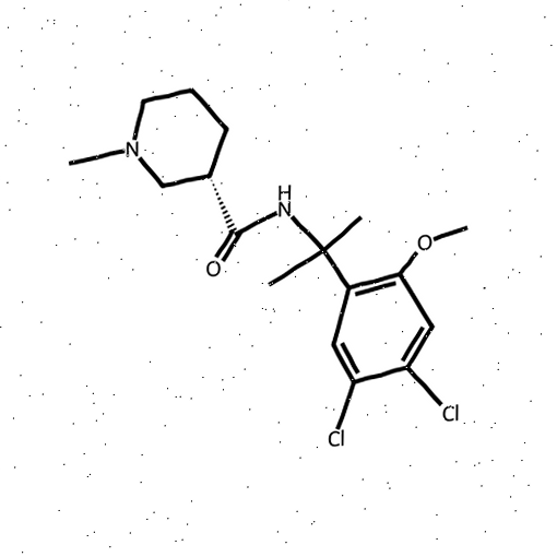 COc1cc(Cl)c(Cl)cc1C(C)(C)NC(=O)[C@H]1CCCN(C)C1